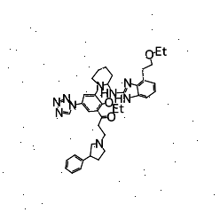 CCOCCc1cccc2[nH]c(NC3CCCCN3c3cc(-n4cnnn4)cc(C(=O)CCN4CCC(c5ccccc5)C4)c3OCC)nc12